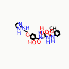 COc1ccccc1NC(=O)N[C@@H](CNC(=O)c1ccc(OCCNC2=NCCCN2)cc1O)C(=O)O